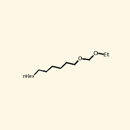 CCCCCCCCCCCCOCOCC